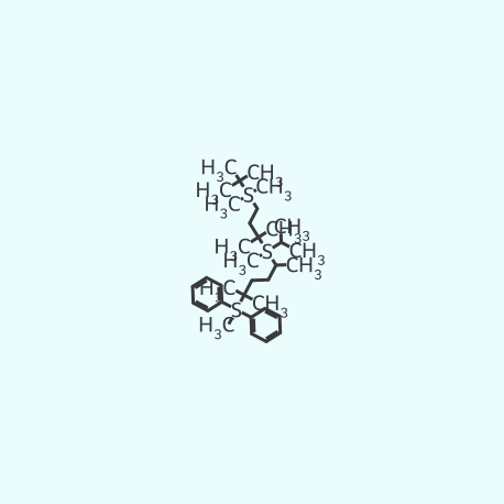 CC(C)S(C)(C(C)CCC(C)(C)S(C)(c1ccccc1)c1ccccc1)C(C)(C)CCS(C)(C)C(C)(C)C